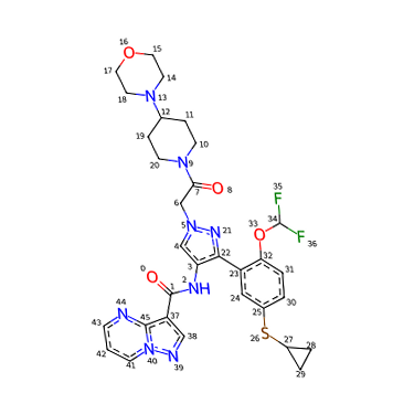 O=C(Nc1cn(CC(=O)N2CCC(N3CCOCC3)CC2)nc1-c1cc(SC2CC2)ccc1OC(F)F)c1cnn2cccnc12